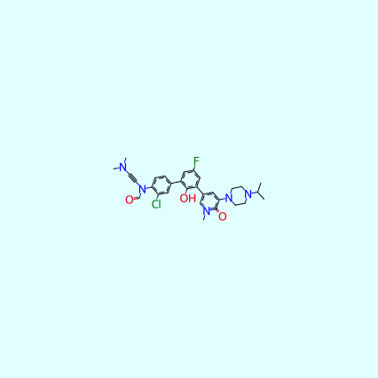 CC(C)N1CCN(c2cc(-c3cc(F)cc(-c4ccc(N(C#CN(C)C)C=O)c(Cl)c4)c3O)cn(C)c2=O)CC1